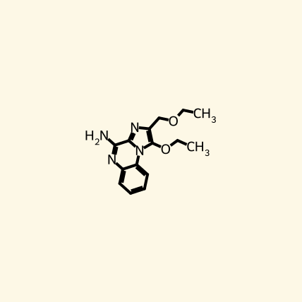 CCOCc1nc2c(N)nc3ccccc3n2c1OCC